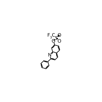 O=S(=O)(Oc1ccc2ccc(-c3ccccc3)nc2c1)C(F)(F)F